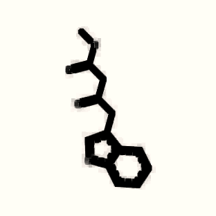 COC(=O)CC(=O)Cc1coc2ccccc12